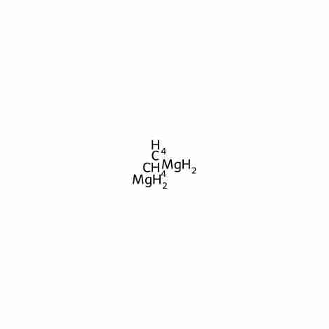 C.C.[MgH2].[MgH2]